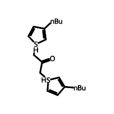 CCCCC1=C[SH](CC(=O)C[SH]2C=CC(CCCC)=C2)C=C1